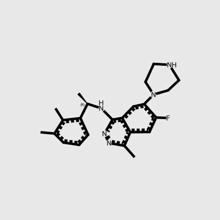 Cc1cccc([C@@H](C)Nc2nnc(C)c3cc(F)c(N4CCNCC4)cc23)c1C